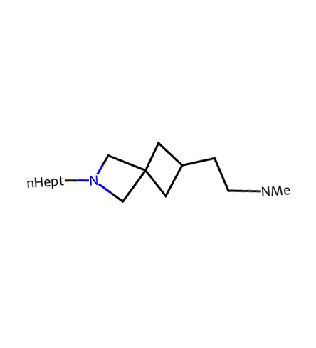 CCCCCCCN1CC2(CC(CCNC)C2)C1